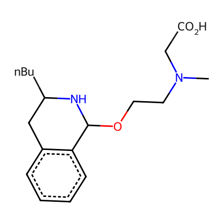 CCCCC1Cc2ccccc2C(OCCN(C)CC(=O)O)N1